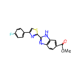 COC(=O)c1ccc2nc(-c3nc(-c4ccc(F)cc4)cs3)[nH]c2c1